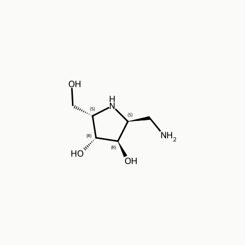 NC[C@@H]1N[C@@H](CO)[C@@H](O)[C@@H]1O